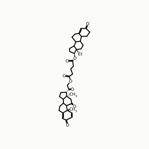 CC[C@]12CCC3C4CCC(=O)C=C4CCC3C1CC[C@@H]2OC(=O)CCCC(=O)OCC(=O)[C@H]1CCC2C3CCC4=CC(=O)C=CC4(C)C3C(=O)C[C@@]21C